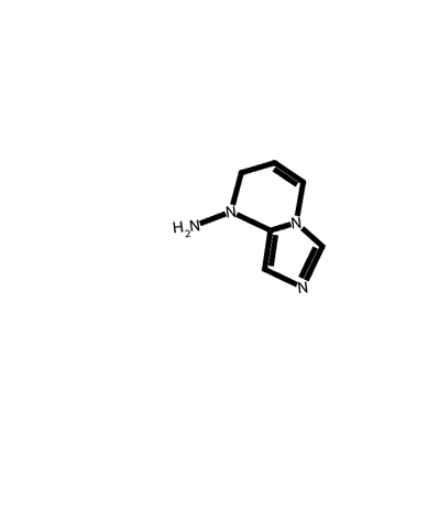 NN1CC=Cn2cncc21